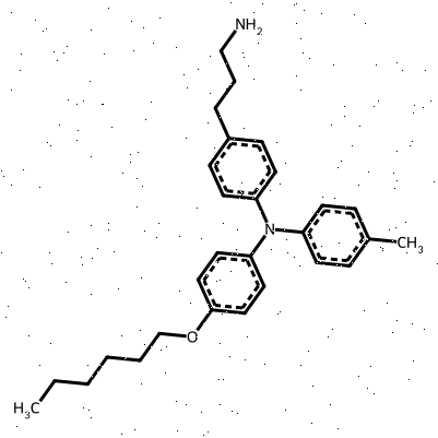 CCCCCCOc1ccc(N(c2ccc(C)cc2)c2ccc(CCCN)cc2)cc1